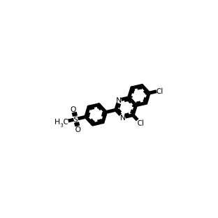 CS(=O)(=O)c1ccc(-c2nc(Cl)c3cc(Cl)ccc3n2)cc1